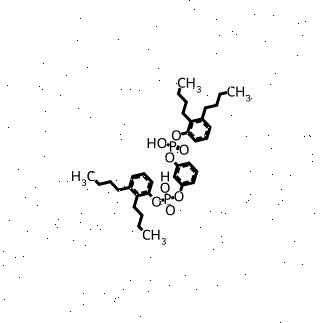 CCCCc1cccc(OP(=O)(O)Oc2cccc(OP(=O)(O)Oc3cccc(CCCC)c3CCCC)c2)c1CCCC